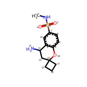 CNS(=O)(=O)c1ccc2c(c1)C(N)CC1(CCC1)O2